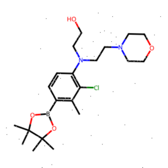 Cc1c(B2OC(C)(C)C(C)(C)O2)ccc(N(CCO)CCN2CCOCC2)c1Cl